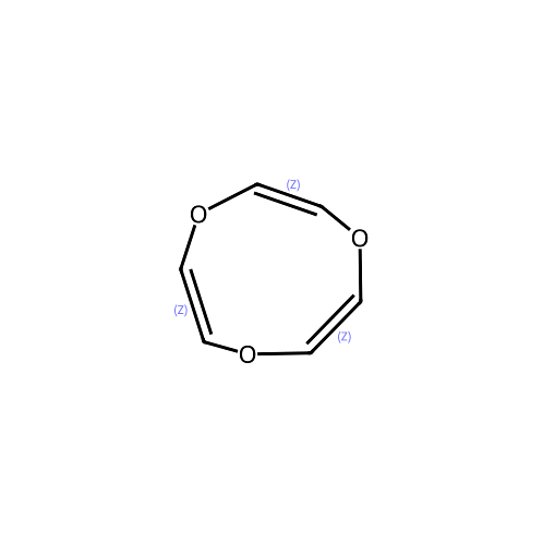 C1=C\O/C=C\O/C=C\O/1